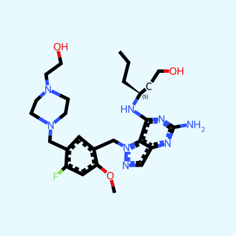 CCC[C@@H](CCO)Nc1nc(N)nc2cnn(Cc3cc(CN4CCN(CCO)CC4)c(F)cc3OC)c12